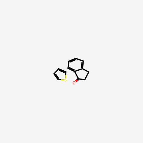 O=C1CCc2ccccc21.c1ccsc1